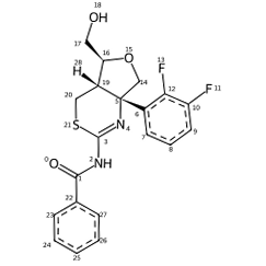 O=C(NC1=N[C@@]2(c3cccc(F)c3F)CO[C@H](CO)[C@H]2CS1)c1ccccc1